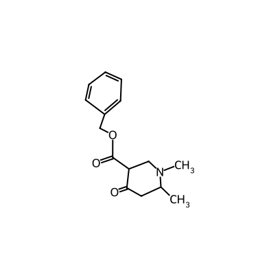 CC1CC(=O)C(C(=O)OCc2ccccc2)CN1C